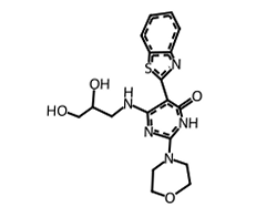 O=c1[nH]c(N2CCOCC2)nc(NCC(O)CO)c1-c1nc2ccccc2s1